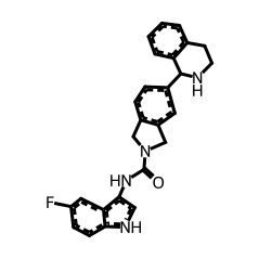 O=C(Nc1c[nH]c2ccc(F)cc12)N1Cc2ccc(C3NCCc4ccccc43)cc2C1